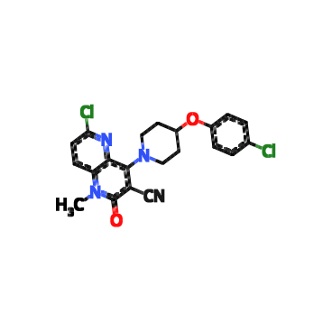 Cn1c(=O)c(C#N)c(N2CCC(Oc3ccc(Cl)cc3)CC2)c2nc(Cl)ccc21